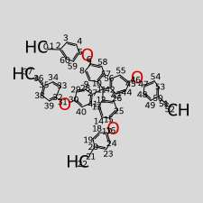 C#Cc1ccc(Oc2ccc(C(c3ccc(Oc4ccc(C#C)cc4)cc3)(c3ccc(Oc4ccc(C#C)cc4)cc3)c3ccc(Oc4ccc(C#C)cc4)cc3)cc2)cc1